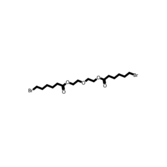 O=C(CCCCCBr)OCCOCCOC(=O)CCCCCBr